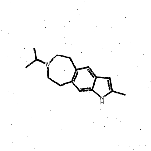 Cc1cc2cc3c(cc2[nH]1)CCN(C(C)C)CC3